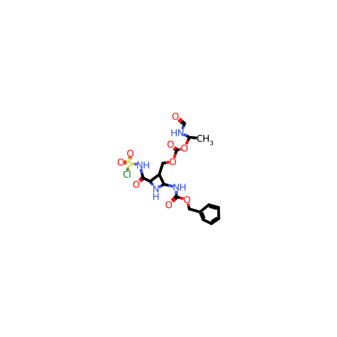 CC(NC=O)OC(=O)OCC1C(NC(=O)OCc2ccccc2)NC1C(=O)NS(=O)(=O)Cl